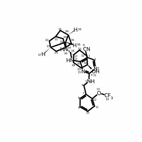 N#Cc1cnc(NCc2ccccc2OC(F)(F)F)nc1NC[C@@]12CC3C[C@H](C1)[C@@H](N[C@H]1CC[C@H](O)CC1)[C@@H](C3)C2